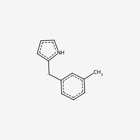 Cc1cccc([CH]c2ccc[nH]2)c1